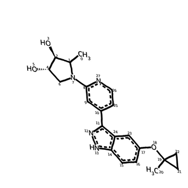 CC1[C@H](O)[C@@H](O)CN1c1cc(-c2n[nH]c3ccc(OC4(C)CC4)cc23)ccn1